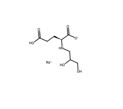 O=C(O)CC[C@H](NCC(O)CO)C(=O)[O-].[Na+]